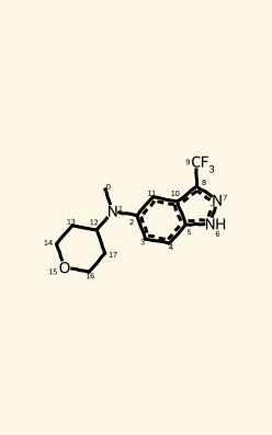 CN(c1ccc2[nH]nc(C(F)(F)F)c2c1)C1CCOCC1